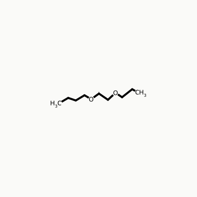 CCCCO[CH]COCCC